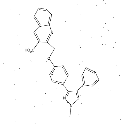 Cn1cc(-c2ccncc2)c(-c2ccc(OCc3nc4ccccc4cc3C(=O)O)cc2)n1